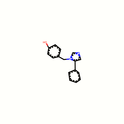 Oc1ccc(Cn2cncc2-c2ccccc2)cc1